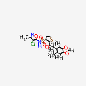 [2H]c1c2c(c([2H])c(C([2H])([2H])C(=O)c3sccc3S(=O)(=O)Nc3onc(C)c3Cl)c1C([2H])([2H])[2H])OC([2H])O2